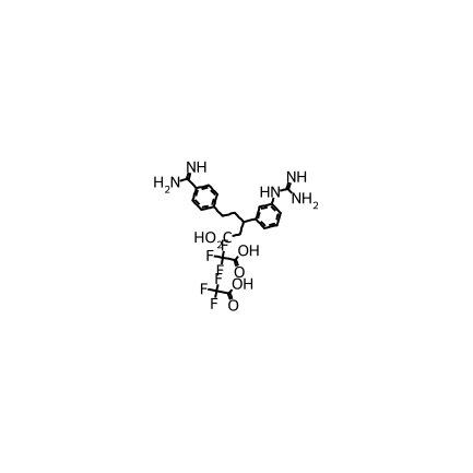 N=C(N)Nc1cccc(C(CCc2ccc(C(=N)N)cc2)CC(=O)O)c1.O=C(O)C(F)(F)F.O=C(O)C(F)(F)F